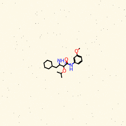 COc1cccc(NC(=O)C(OC(C)C)C(N)CC2CCCCC2)c1